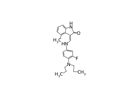 CCCN(CCC)c1ccc(N/C=C2/C(=O)Nc3cccc(C)c32)cc1F